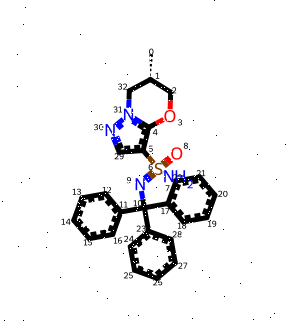 C[C@@H]1COc2c(S(N)(=O)=NC(c3ccccc3)(c3ccccc3)c3ccccc3)cnn2C1